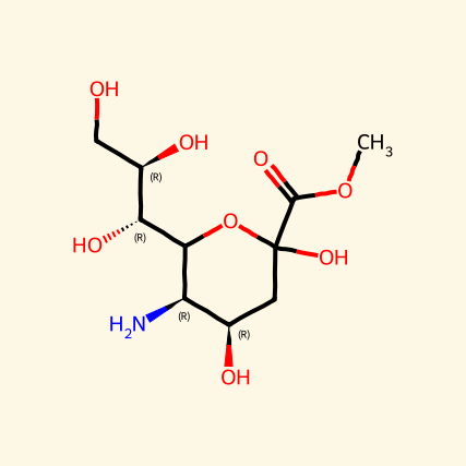 COC(=O)C1(O)C[C@@H](O)[C@@H](N)C([C@H](O)[C@H](O)CO)O1